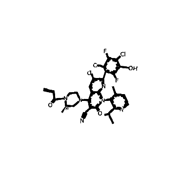 C=CC(=O)N1CCN(c2c(C#N)c(=O)n(-c3c(C)ccnc3C(C)C)c3nc(-c4c(F)c(O)c(Cl)c(F)c4Cl)c(Cl)cc23)C[C@H]1C